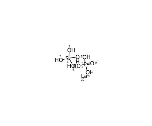 O=P(O)(O)O.O[Si](O)(O)O.[La]